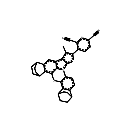 Cc1c(-c2ccc(C#N)nc2C#N)sc2c1c1cc3c(c4c1n2-c1ccc2c(c1O4)C1CCC2CC1)C1CCC3CC1